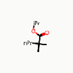 CCCC(C)(C)C(=O)OC(C)C